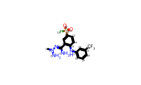 CN(N)/N=C(\N)c1cc(S(=O)(=O)F)ccc1Nc1cccc(C(F)(F)F)c1